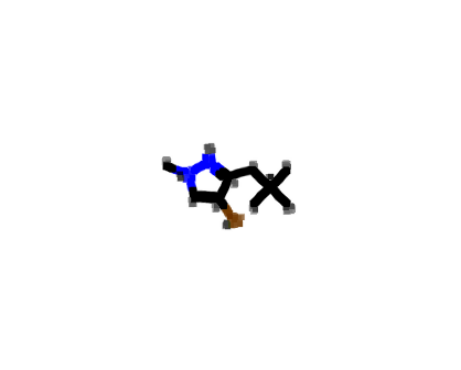 Cn1cc(Br)c(CC(C)(C)C)n1